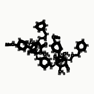 COc1ccc(C2S[C@@]3(COCc4ccccc4)C(=O)N(C)[C@@](Cc4ccc(C[C@@]56SC(c7ccc(OC)cc7)S[C@@](COCc7ccccc7)(C(=O)N5C)N(C)C6=O)cc4)(S2)C(=O)N3C)cc1